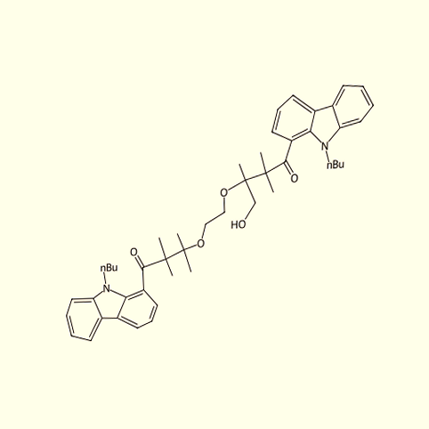 CCCCn1c2ccccc2c2cccc(C(=O)C(C)(C)C(C)(C)OCCOC(C)(CO)C(C)(C)C(=O)c3cccc4c5ccccc5n(CCCC)c34)c21